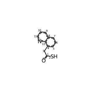 O=C(S)Cc1cccc2cccnc12